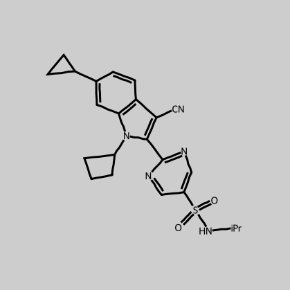 CC(C)NS(=O)(=O)c1cnc(-c2c(C#N)c3ccc(C4CC4)cc3n2C2CCC2)nc1